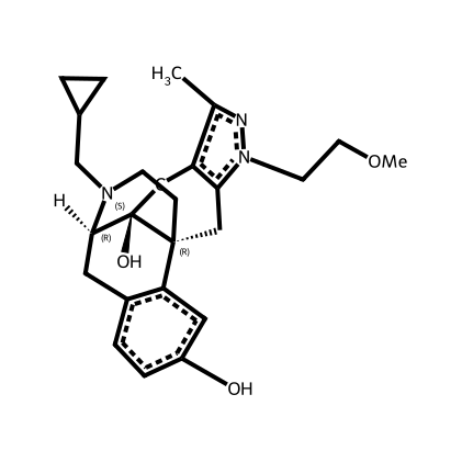 COCCn1nc(C)c2c1C[C@]13CCN(CC4CC4)[C@H](Cc4ccc(O)cc41)[C@]3(O)C2